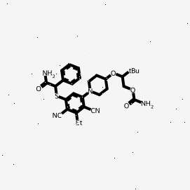 CCc1c(C#N)c(SC(C(N)=O)c2ccccc2)cc(N2CCC(OC(COC(N)=O)C(C)(C)C)CC2)c1C#N